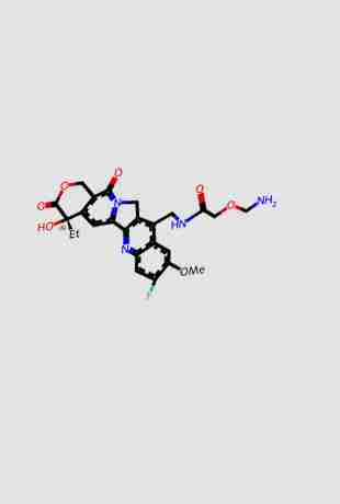 CC[C@@]1(O)C(=O)OCc2c1cc1n(c2=O)Cc2c-1nc1cc(F)c(OC)cc1c2CNC(=O)COCN